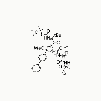 C=C[C@@H]1C[C@]1(NC(=O)[C@@H]1C[C@@](OC)(c2ccc(-c3ccccc3)cc2)CN1C(=O)[C@@H](NC(=O)OC(C)(C)C(F)(F)F)C(C)(C)C)C(=O)NS(=O)(=O)C1CC1